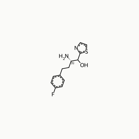 N[C@@H](CCc1ccc(F)cc1)C(O)c1nccs1